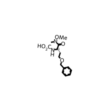 CON(C)C(=O)[C@H](CCOCc1ccccc1)NC(=O)O